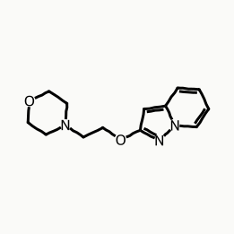 c1ccn2nc(OCCN3CCOCC3)cc2c1